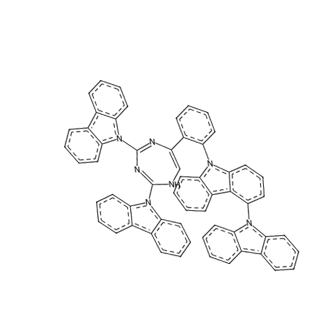 C1=C(c2ccccc2-n2c3ccccc3c3c(-n4c5ccccc5c5ccccc54)cccc32)N=C(n2c3ccccc3c3ccccc32)N=C(n2c3ccccc3c3ccccc32)N1